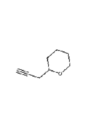 C#CCC1CCCCO1